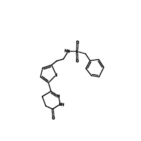 O=C1CCC(c2ccc(CCNS(=O)(=O)Cc3ccccc3)s2)=NN1